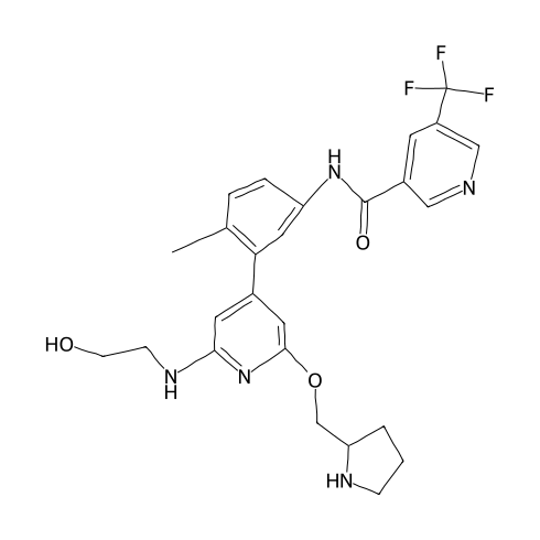 Cc1ccc(NC(=O)c2cncc(C(F)(F)F)c2)cc1-c1cc(NCCO)nc(OCC2CCCN2)c1